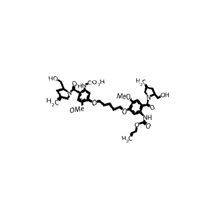 C=CCOC(=O)Nc1cc(OCCCCCOc2cc(NC(=O)O)c(C(=O)N3CC(=C)CC3CO)cc2OC)c(OC)cc1C(=O)N1CC(=C)CC1CO